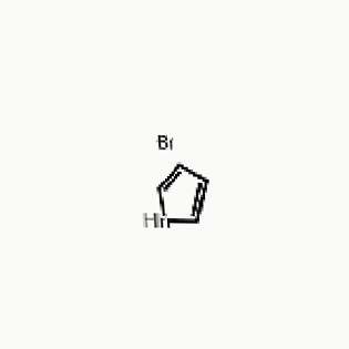 C1=[CH][InH][CH]=C1.[Br]